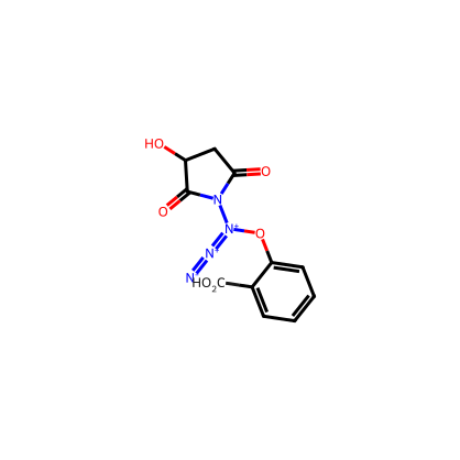 [N-]=[N+]=[N+](Oc1ccccc1C(=O)O)N1C(=O)CC(O)C1=O